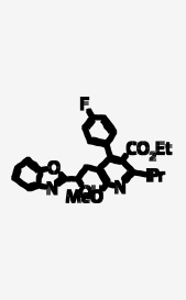 CCOC(=O)c1c(C(C)C)nc(OC)c(CC(O)c2nc3ccccc3o2)c1-c1ccc(F)cc1